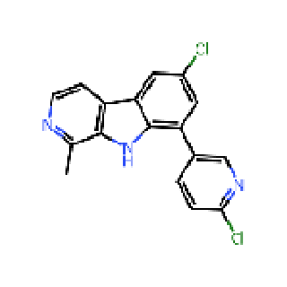 Cc1nccc2c1[nH]c1c(-c3ccc(Cl)nc3)cc(Cl)cc12